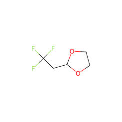 FC(F)(F)CC1OCCO1